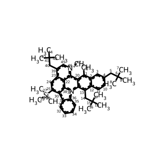 Cc1c2cc(CC(C)(C)C)ccc2c(CC(C)(C)C)c2c1c1c3c(cc([Si](C)(C)C)c4c5ccccc5n2c43)c(CC(C)(C)C)c[n+]1C